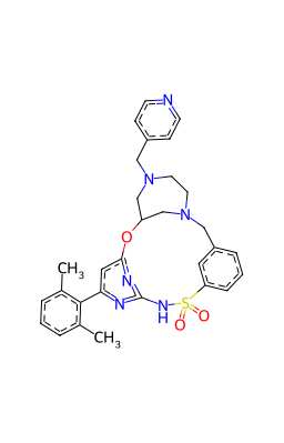 Cc1cccc(C)c1-c1cc2nc(n1)NS(=O)(=O)c1cccc(c1)CN1CCN(Cc3ccncc3)CC(C1)O2